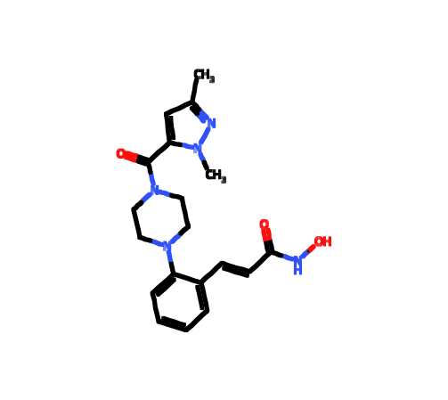 Cc1cc(C(=O)N2CCN(c3ccccc3C=CC(=O)NO)CC2)n(C)n1